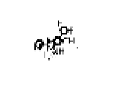 CNc1nc(-c2cccnc2)nc2cc(-c3cc(F)cc(F)c3)c(C)cc12